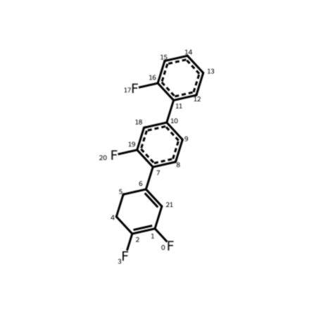 FC1=C(F)CCC(c2ccc(-c3ccccc3F)cc2F)=C1